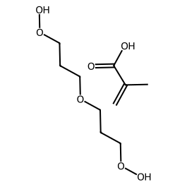 C=C(C)C(=O)O.OOCCCOCCCOO